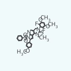 CCN1C(=S)N(c2c(F)c(OC)cc(OC)c2F)Cc2cnc3c(cc(-c4ccc(OC)cc4)n3S(=O)(=O)c3ccccc3)c21